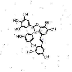 Oc1cc(O)cc(/C=C/c2cc(O)c(O)c3c2[C@H](c2cc(O)cc(O)c2)[C@@H](c2cc(O)c(O)c(O)c2)O3)c1